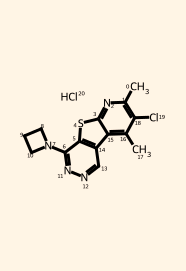 Cc1nc2sc3c(N4CCC4)nncc3c2c(C)c1Cl.Cl